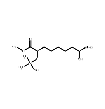 CCCCCC[C@@H](O)CCCCC[C@@H](O[Si](C)(C)C(C)(C)C)C(=O)OCCCC